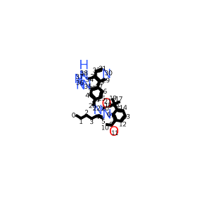 CCCCc1cn(-c2c(C(C)=O)cccc2C(C)(C)C)c(=O)n1Cc1ccc(-c2cnccc2-c2nnn[nH]2)cc1